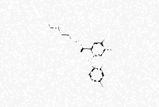 O=C(NOCCC(O)CO)c1cc(Br)c(F)cc1Nc1ccc(I)cc1F